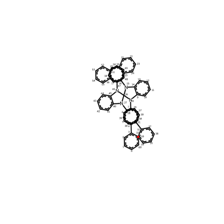 c1ccc(-c2ccc(N3c4ccccc4N(c4cccc5ccccc45)C34N(c3ccc(-c5ccccc5)cc3)c3ccccc3N4c3cccc4ccccc34)cc2)cc1